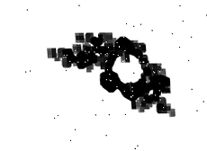 C=CC(=O)N1CC(F)(C(=O)N(C)[C@H](C(=O)N[C@H]2Cc3cccc(c3)-c3ccc4c(c3)c(c(-c3cccnc3[C@H](C)OC)n4CC)CC(C)(C)COC(=O)[C@@H]3CCCN(N3)C2=O)C(C)C)C1